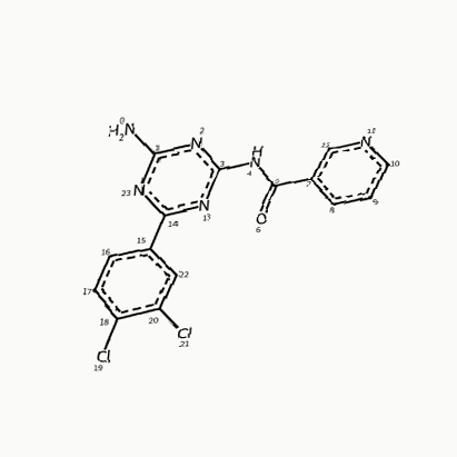 Nc1nc(NC(=O)c2cccnc2)nc(-c2ccc(Cl)c(Cl)c2)n1